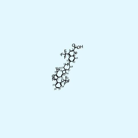 O=C(O)c1cc(C(F)(F)F)c2cc(N3CCC4(CC3)CC(=Cc3c(-c5ccccc5OC(F)(F)F)noc3C3CC3)C4)ccc2n1